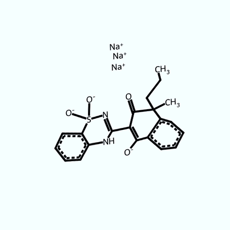 CCCC1(C)C(=O)C(C2=NS([O-])([O-])c3ccccc3N2)=C([O-])c2ccccc21.[Na+].[Na+].[Na+]